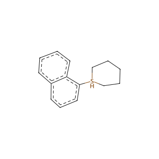 c1ccc2c([SH]3CCCCC3)cccc2c1